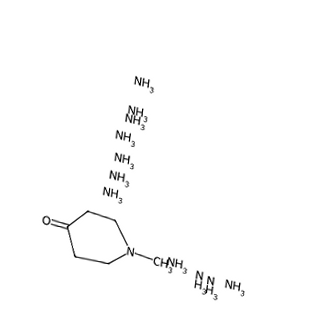 CN1CCC(=O)CC1.N.N.N.N.N.N.N.N.N.N.N